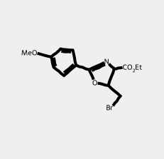 CCOC(=O)C1N=C(c2ccc(OC)cc2)OC1CBr